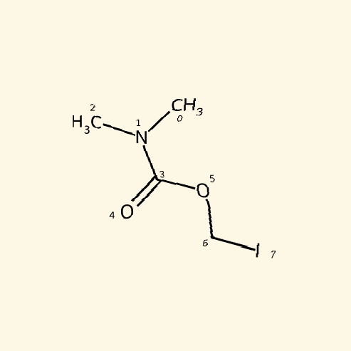 CN(C)C(=O)OCI